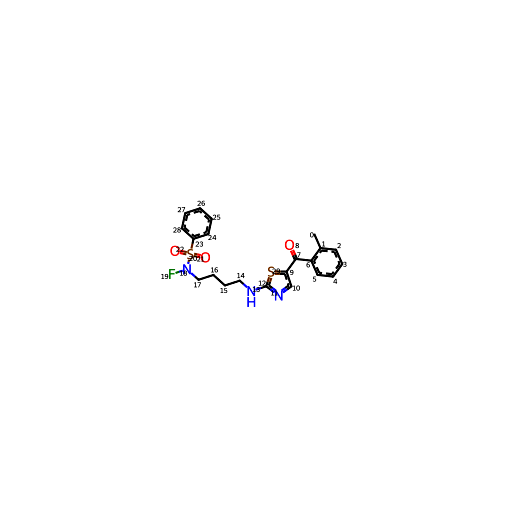 Cc1ccccc1C(=O)c1cnc(NCCCCN(F)S(=O)(=O)c2ccccc2)s1